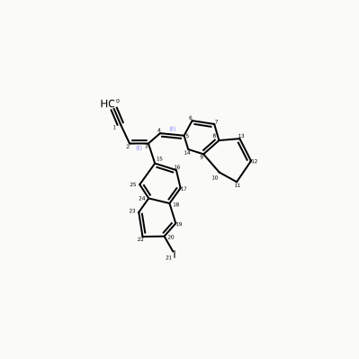 C#C/C=C(\C=C1\C=CC2=C(CCC=C2)C1)c1ccc2cc(I)ccc2c1